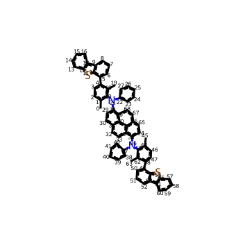 Cc1ccc(-c2cccc3c2sc2ccccc23)c(C)c1N(c1ccccc1)c1ccc2ccc3c(N(c4ccccc4)c4c(C)ccc(-c5cccc6c5sc5ccccc56)c4C)ccc4ccc1c2c43